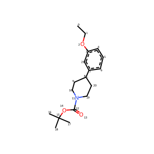 CCOc1cccc([C]2CCN(C(=O)OC(C)(C)C)CC2)c1